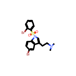 CN(C)CCc1cn(S(=O)(=O)c2ccccc2Br)c2ccc(Br)cc12